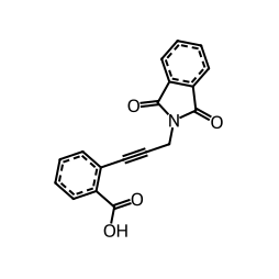 O=C(O)c1ccccc1C#CCN1C(=O)c2ccccc2C1=O